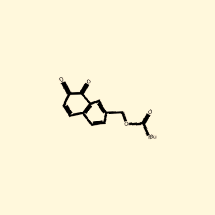 CCC(C)C(=O)OCc1ccc2c(c1)C(=O)C(=O)C=C2